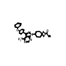 C=CC(=O)N1CC2(CCC(n3nc(-c4ccc(Oc5ccccc5)cc4)c4c(N)ncnc43)CC2)C1